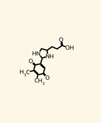 CC1=C(C)C(=O)C(C2NCC(CCC(=O)O)N2)=CC1=O